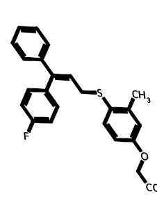 Cc1cc(OCC(=O)O)ccc1SCC=C(c1ccccc1)c1ccc(F)cc1